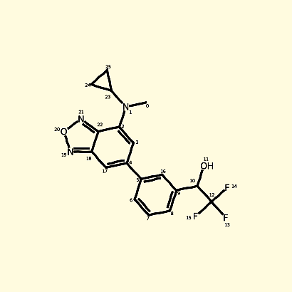 CN(c1cc(-c2cccc(C(O)C(F)(F)F)c2)cc2nonc12)C1CC1